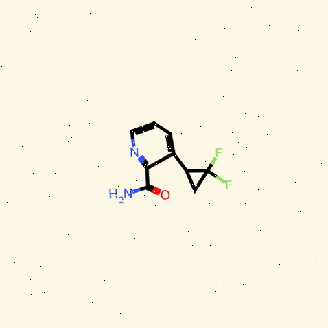 NC(=O)c1ncccc1C1CC1(F)F